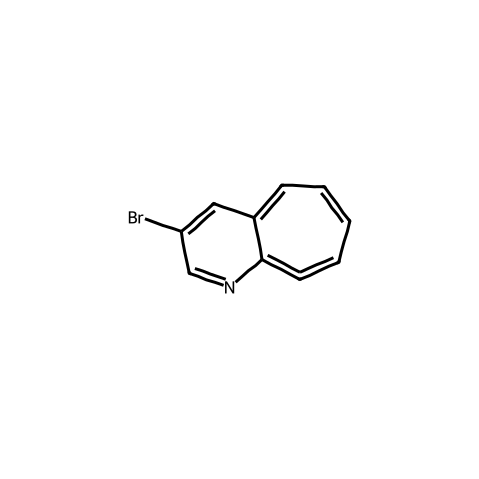 Brc1cnc2c(c1)=CC=CC=C=2